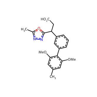 COc1cc(C)cc(OC)c1-c1cccc(C(CC(=O)O)c2nnc(C)o2)c1